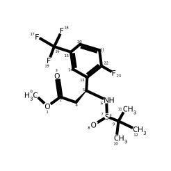 COC(=O)C[C@H](N[S+]([O-])C(C)(C)C)c1cc(C(F)(F)F)ccc1F